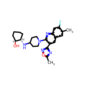 Cc1nc(-c2cc3cc(C)c(F)cc3nc2N2CCC(N[C@H]3CCCC[C@@H]3O)CC2)no1